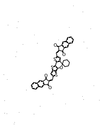 O=C1C(=Cc2cc3c(s2)-c2sc4cc(C=C5C(=O)c6cc7ccccc7cc6C5=O)sc4c2OC32CCCCC2)C(=O)c2cc3ccccc3cc21